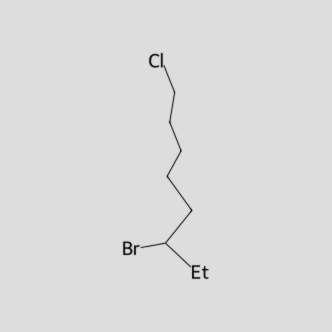 [CH2]CC(Br)CCCCCCl